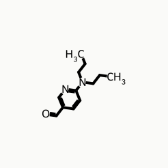 CCCN(CCC)c1ccc(C=O)cn1